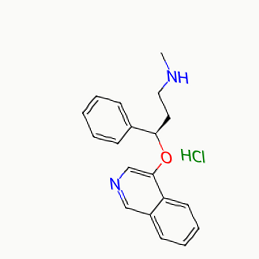 CNCC[C@@H](Oc1cncc2ccccc12)c1ccccc1.Cl